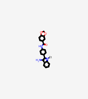 CCn1c(-c2ccc(NC(=O)c3ccc4c(c3)OCO4)cc2)c(N)c2ccccc21